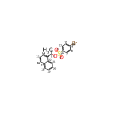 CC(OS(=O)(=O)c1ccc(Br)cc1)c1cccc2ccccc12